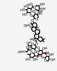 CCCCCCCCCCCC(=O)N[C@H]1C(CO)O[C@@H](OC(=O)[C@]23CCC(C)(C)CC2C2=CCC4C5(C)CC[C@H](O[C@@H]6OC[C@@H](O)[C@H](O[C@@H]7OC[C@@H](O)[C@H](O)C7O)C6O[C@@H]6OC(CO)[C@H](O)[C@H](O)C6O)[C@](C)(C=O)[C@@H]5CC[C@]4(C)[C@]2(C)CC3O)[C@H](O[C@@H]2OC(C)[C@H](O[C@@H]3OC[C@@H](O)C(O)[C@H]3O)C(O)[C@@H]2O)C1O[C@@H]1OC(C)[C@H](O)[C@H](O)C1O